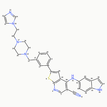 N#Cc1cnc2sc(-c3cccc(CN4CCN(CCn5ccnc5)CC4)c3)cc2c1Nc1ccc2[nH]ccc2c1